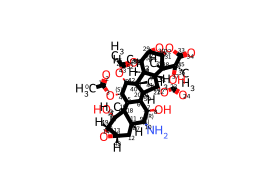 CC(=O)O[C@H]1C2C([C@@H](O)[C@@H](N)[C@H]3C[C@@H]4O[C@@H]4[C@H](O)[C@]23C)[C@@H]2[C@@H](OC=O)[C@@H]3[C@H]([C@H](C)[C@H]4O[C@]45OC(=O)[C@@](C)(O)[C@]35C)[C@@]2(C)[C@H]1OC(C)=O